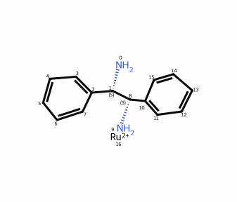 N[C@@H](c1ccccc1)[C@@H](N)c1ccccc1.[Ru+2]